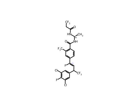 C[C@H](NC(=O)CC(F)(F)F)NC(=O)c1ccc(/C(F)=C/C(c2cc(Cl)c(F)c(Cl)c2)C(F)(F)F)cc1C(F)(F)F